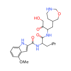 COc1cccc2[nH]c(C(=O)NC(CC(C)C)C(=O)NC(CC3CCNCOC3)C(=O)CO)cc12